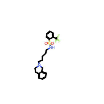 O=S(=O)(NCCCCCN1CCc2ccccc2C1)c1ccccc1C(F)(F)F